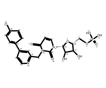 O=c1ccn([C@@H]2O[C@H](COP(=O)(O)O)C(O)C2O)c(=O)n1Cc1cc(-c2ccc(Cl)cc2)ccn1